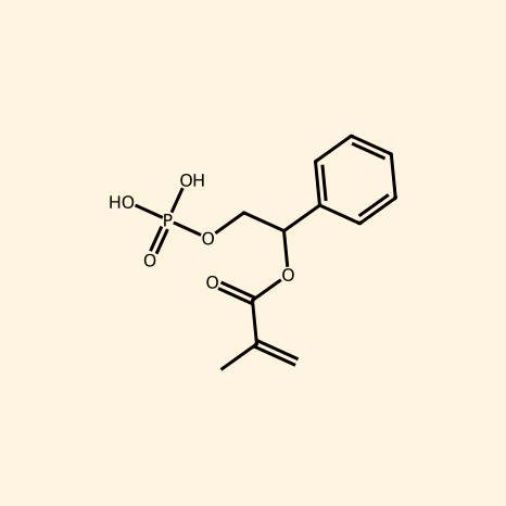 C=C(C)C(=O)OC(COP(=O)(O)O)c1ccccc1